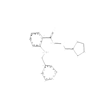 O=C(NOCC1CCCC1)c1ccccc1NCc1ccncc1